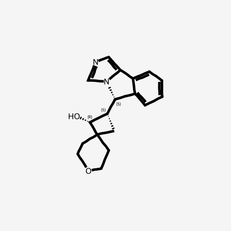 O[C@@H]1[C@H]([C@H]2c3ccccc3-c3cncn32)CC12CCOCC2